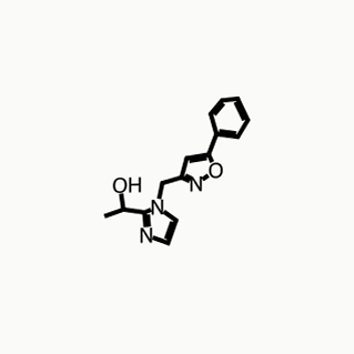 CC(O)c1nccn1Cc1cc(-c2ccccc2)on1